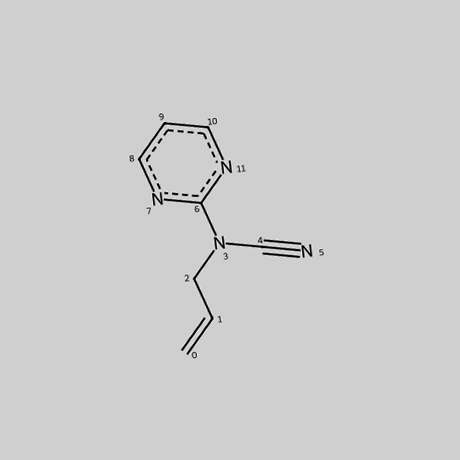 C=CCN(C#N)c1ncccn1